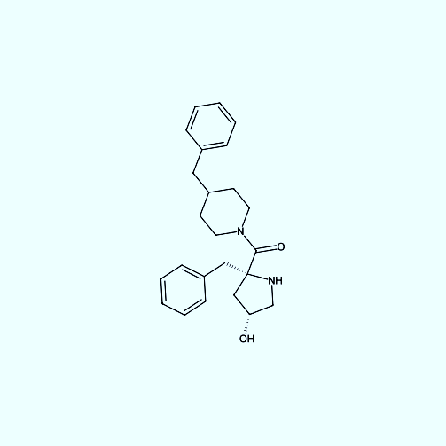 O=C(N1CCC(Cc2ccccc2)CC1)[C@]1(Cc2ccccc2)C[C@@H](O)CN1